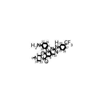 CN1CCN(C(=O)c2cc3cnc(Nc4cccc(C(F)(F)F)c4)nc3n(-c3cccc(N)c3)c2=O)CC1